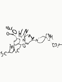 CCCCOC(=O)c1ccc([C@@H](Oc2cc(N3CCC4(CC3)CN[C@H](C(=O)O)C4)nc(N)n2)C(F)(F)F)c(-n2ccc(C)n2)c1